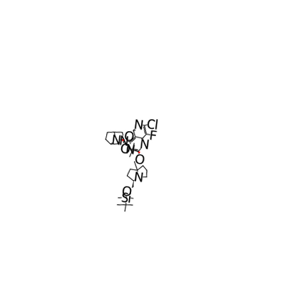 CC(C)(C)OC(=O)N1C2CCC1CN(c1nc(OCC34CCCN3[C@@H](CO[Si](C)(C)C(C)(C)C)CC4)nc3c(F)c(Cl)ncc13)C2